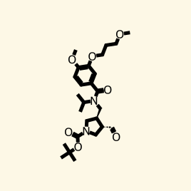 COCCCOc1cc(C(=O)N(C[C@@H]2CN(C(=O)OC(C)(C)C)C[C@H]2C=O)C(C)C)ccc1OC